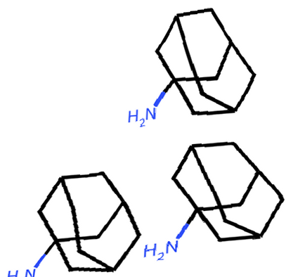 NC12CC3CC(CC(C3)C1)C2.NC12CC3CC(CC(C3)C1)C2.NC12CC3CC(CC(C3)C1)C2